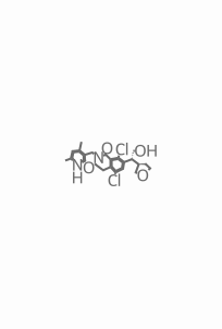 Cc1cc(C)c(CN2CCc3c(Cl)cc([C@H](CO)[C@H]4CCOC4)c(Cl)c3C2=O)c(=O)[nH]1